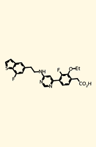 CCOc1c(CC(=O)O)ccc(-c2cc(NCCc3cc(F)c4sccc4c3)ncn2)c1F